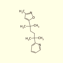 Cc1cc(C(C)(C)CCC(C)(C)c2ccccn2)on1